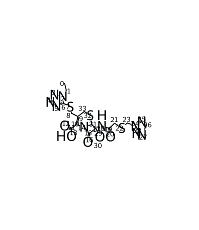 CCn1nnnc1SCC1=C(C(=O)O)N2C(=O)[C@](NC(=O)CSCn3ncnn3)(OC)C2SC1